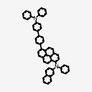 c1ccc(N(c2ccccc2)c2ccc(-c3ccc(-c4ccc5ccc6c(N(c7ccccc7)c7ccc8ccccc8c7)ccc7ccc4c5c76)cc3)cc2)cc1